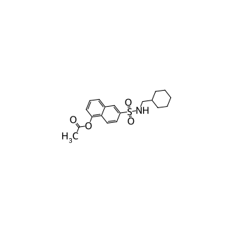 CC(=O)Oc1cccc2cc(S(=O)(=O)NCC3CCCCC3)ccc12